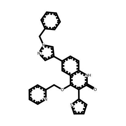 O=c1[nH]c2ccc(-c3cnn(Cc4ccccc4)c3)cc2c(OCc2ccccn2)c1-c1cccs1